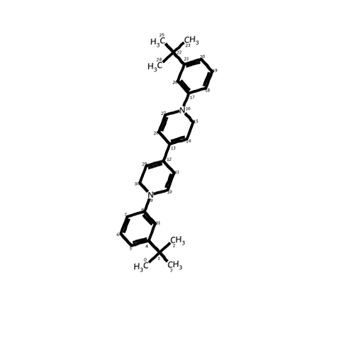 CC(C)(C)c1cccc(N2C=CC(C3=CCN(c4cccc(C(C)(C)C)c4)C=C3)=CC2)c1